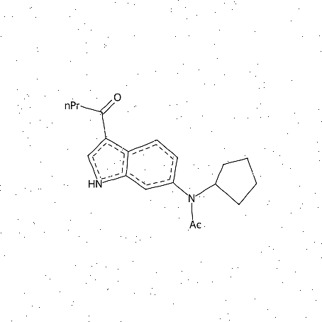 CCCC(=O)c1c[nH]c2cc(N(C(C)=O)C3CCCC3)ccc12